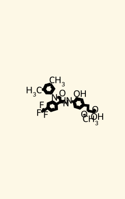 COC(Cc1ccc(NN=C2C(=O)N(c3cc(C)cc(C)c3)c3cc(C(F)(F)F)ccc32)c(O)c1)C(=O)O